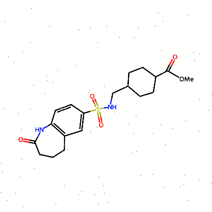 COC(=O)C1CCC(CNS(=O)(=O)c2ccc3c(c2)CCCC(=O)N3)CC1